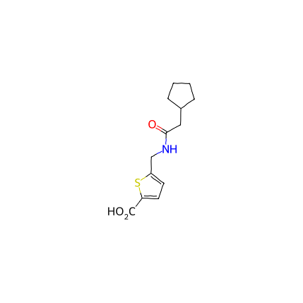 O=C(CC1CCCC1)NCc1ccc(C(=O)O)s1